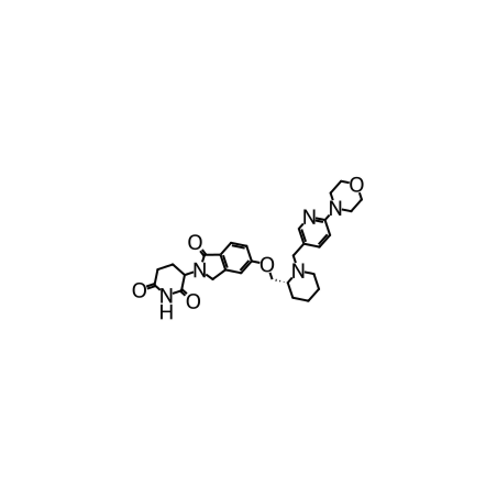 O=C1CCC(N2Cc3cc(OC[C@H]4CCCCN4Cc4ccc(N5CCOCC5)nc4)ccc3C2=O)C(=O)N1